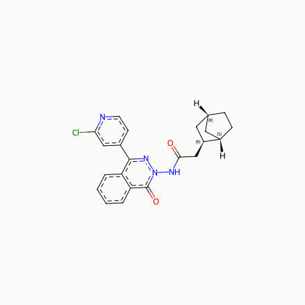 O=C(C[C@H]1C[C@@H]2CC[C@H]1C2)Nn1nc(-c2ccnc(Cl)c2)c2ccccc2c1=O